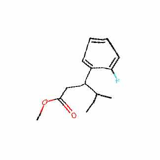 COC(=O)CC(c1ccccc1F)C(C)C